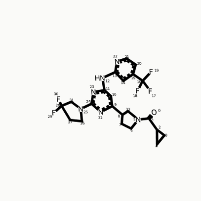 O=C(C1CC1)N1CCC(c2cc(Nc3cc(C(F)(F)F)ccn3)nc(N3CCC(F)(F)C3)n2)C1